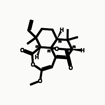 C=CC1(C)CC[C@H]2C(C)(C)[C@@H]3C=C4C=C(OC)OC(=O)[C@@H]1[C@@]42OC3=O